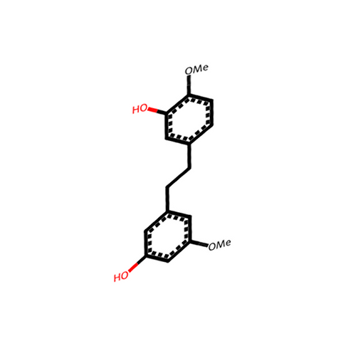 COc1cc(O)cc(CCc2ccc(OC)c(O)c2)c1